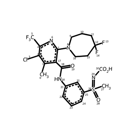 Cc1c(Cl)c(C(F)(F)F)nc(N2CCCC(F)(F)CC2)c1C(=O)Nc1cccc(S(C)(=O)=NC(=O)O)c1